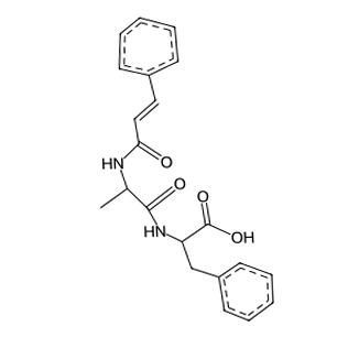 CC(NC(=O)C=Cc1ccccc1)C(=O)NC(Cc1ccccc1)C(=O)O